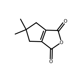 CC1(C)CC2=C(C1)C(=O)OC2=O